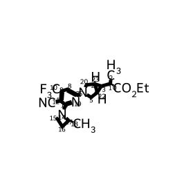 CCOC(=O)[C@H](C)C1[C@H]2CN(c3cc(C(F)(F)F)c(C#N)c(N4CC[C@@H]4C)n3)C[C@@H]12